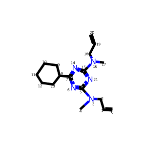 C=CCN(C)c1nc(C2CCCCC2)nc(N(C)CC=C)n1